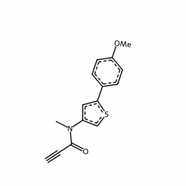 C#CC(=O)N(C)c1csc(-c2ccc(OC)cc2)c1